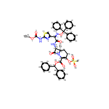 CC(C)(C)OC(=O)Nc1nc(/C(=N/OC(c2ccccc2)(c2ccccc2)c2ccccc2)C(=O)N[C@@H]2C(=O)N3C(C(=O)OC(c4ccccc4)c4ccccc4)=C(OS(C)(=O)=O)CC[C@H]23)cs1